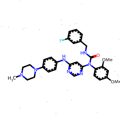 COc1ccc(N(C(=O)NCc2cccc(F)c2)c2cc(Nc3ccc(N4CCN(C)CC4)cc3)ncn2)c(OC)c1